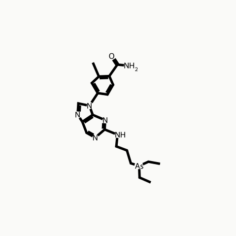 CC[As](CC)CCCNc1ncc2ncn(-c3ccc(C(N)=O)c(C)c3)c2n1